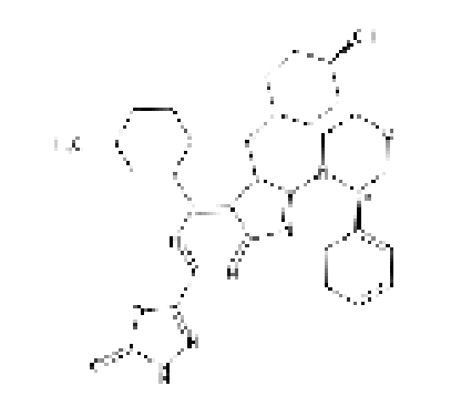 CC1CCCC(c2nc(-c3n[nH]c(=O)o3)nc3nc(N4CCOC[C@H]4c4ccccc4)n(C[C@H]4CC[C@H](C)CC4)c23)C1